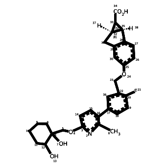 Cc1nc(OCC2(O)CCCCC2O)ccc1-c1ccc(F)c(COc2ccc3c(c2)C[C@H]2C(C(=O)O)[C@@H]32)c1